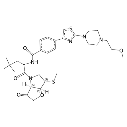 COCCN1CCN(c2nc(-c3ccc(C(=O)NC(CC(C)(C)C)C(=O)N4C[C@H](SC)[C@H]5OCC(=O)[C@H]54)cc3)cs2)CC1